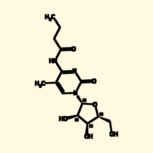 CCCC(=O)Nc1nc(=O)n([C@@H]2O[C@H](CO)[C@@H](O)[C@H]2O)cc1C